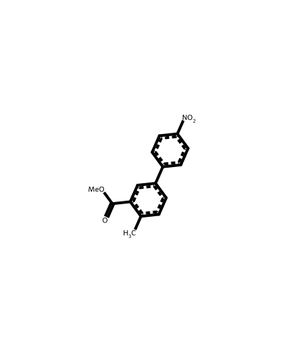 COC(=O)c1cc(-c2ccc([N+](=O)[O-])cc2)ccc1C